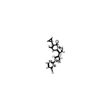 CC1=C(C2CC2)C(=O)n2ncc(-c3cnn(-c4nccc(C)n4)c3)c2C1